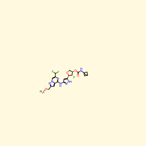 COCc1cc2c(Nc3cc([C@H]4OC[C@@H](OC(=O)NC56CC(C5)C6)[C@@H]4F)[nH]n3)nc(C(F)F)cn2n1